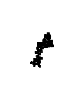 Cc1cc(C)nc(N(C)CCCc2ccc(NC(=O)C(=O)c3c(-c4cccs4)cc(C)n3C)cc2)c1